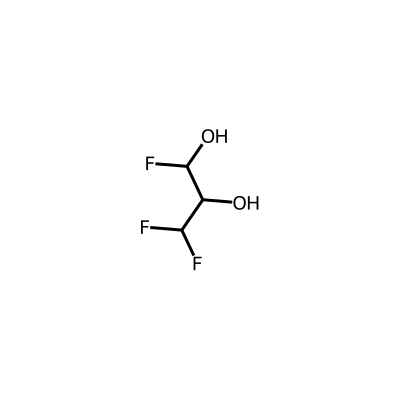 OC(F)C(O)C(F)F